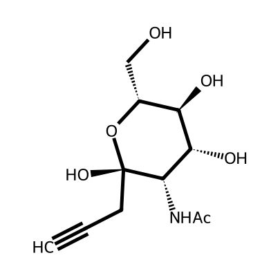 C#CC[C@]1(O)O[C@H](CO)[C@@H](O)[C@H](O)[C@@H]1NC(C)=O